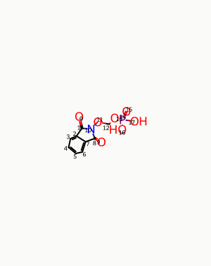 O=C1c2ccccc2C(=O)N1OCOP(=O)(O)O